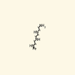 NCCNCCNCC[NH][Fe]